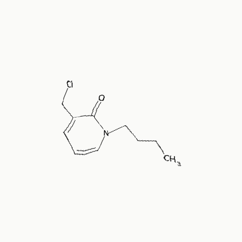 CCCCn1cccc(CCl)c1=O